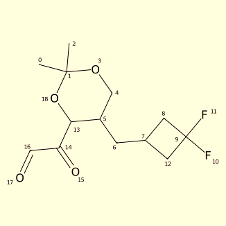 CC1(C)OCC(CC2CC(F)(F)C2)C(C(=O)C=O)O1